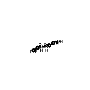 O=C(O)CC1CCC(c2ccc(NC(=O)CCNC(=O)c3ccc(-c4ccc(F)cc4F)cc3)cc2)CC1